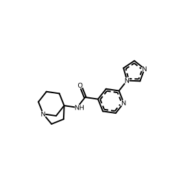 O=C(NC12CCCN(CC1)C2)c1ccnc(-n2ccnc2)c1